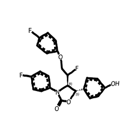 O=C1O[C@@H](c2ccc(O)cc2)[C@H](C(F)COc2ccc(F)cc2)N1c1ccc(F)cc1